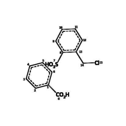 O=C(O)c1ccccc1.O=S(=O)(O)c1ccccc1CCl